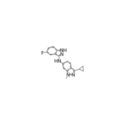 Cn1nc(C2CC2)c2ccc(Nc3n[nH]c4ccc(F)cc34)cc21